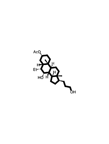 CC[C@H]1[C@@H](O)[C@@H]2[C@H](CC[C@]3(C)[C@@H](CCCO)CC[C@@H]23)[C@@]2(C)CC[C@@H](OC(C)=O)C[C@@H]12